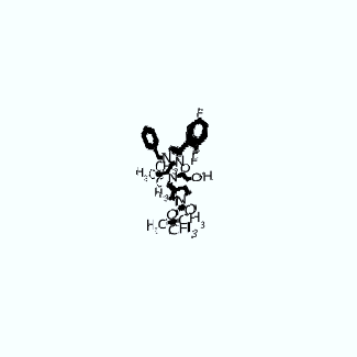 CC(C)(C)OC(=O)N1CCC(CN(C(=O)CO)[C@@H](c2nc(-c3cc(F)ccc3F)cn2Cc2ccccc2)C(C)(C)C)C1